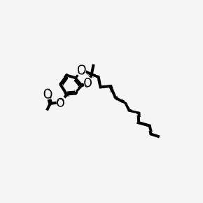 CCCCCCCCCCCC1(C)Oc2ccc(OC(C)=O)cc2O1